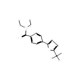 CCN(CC)C(=O)c1ccc(-c2ccc(C(C)(C)C)s2)cc1